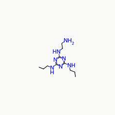 CCCNc1nc(NCCC)nc(NCCN)n1